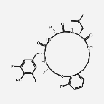 CC(C)[C@H]1NC(=O)[C@@H](Cc2cc(F)c(O)c(F)c2)N[C@@H](C)COc2c(F)cccc2CCCNC(=O)[C@H](CN(C)C)NC1=O